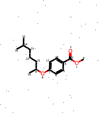 COC(=O)c1ccc(OC(C)CCCC(C)C)cc1